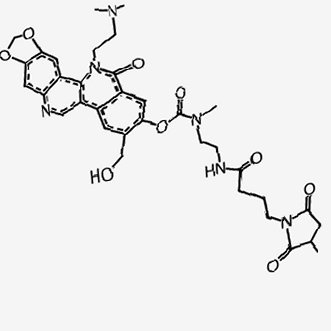 CC1CC(=O)N(CCCC(=O)NCCN(C)C(=O)Oc2cc3c(=O)n(CCN(C)C)c4c5cc6c(cc5ncc4c3cc2CO)OCO6)C1=O